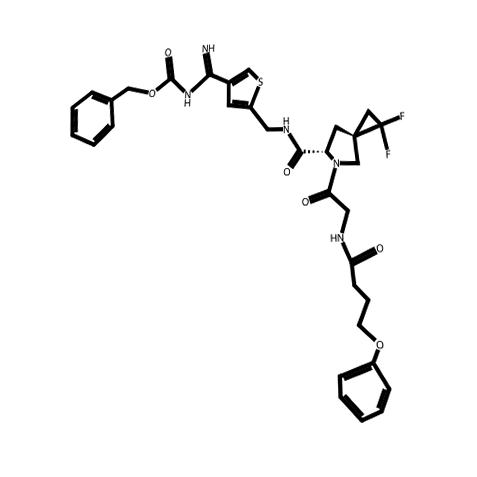 N=C(NC(=O)OCc1ccccc1)c1csc(CNC(=O)[C@@H]2C[C@@]3(CN2C(=O)CNC(=O)CCCOc2ccccc2)CC3(F)F)c1